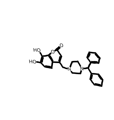 O=c1cc(CN2CCN(C(c3ccccc3)c3ccccc3)CC2)c2ccc(O)c(O)c2o1